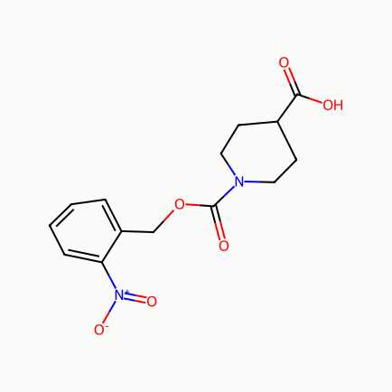 O=C(O)C1CCN(C(=O)OCc2ccccc2[N+](=O)[O-])CC1